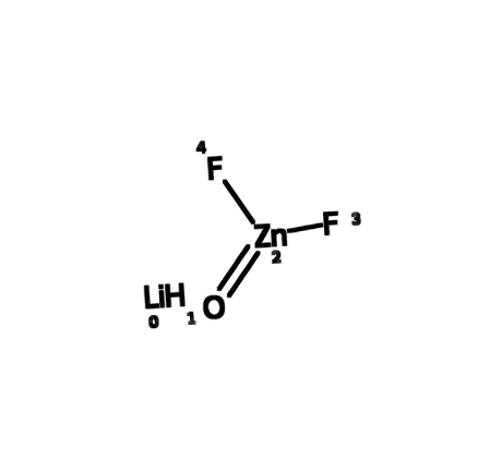 [LiH].[O]=[Zn]([F])[F]